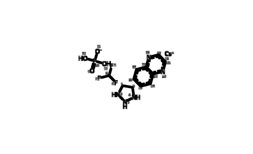 C1CNNN1.FC(F)F.O=P([O-])(O)O.[Cs+].c1ccc2nccnc2c1